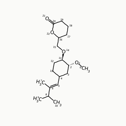 CO[C@@H]1CC(/C=C(\C)C(C)C)CC[C@H]1OCC1CCCC(=O)O1